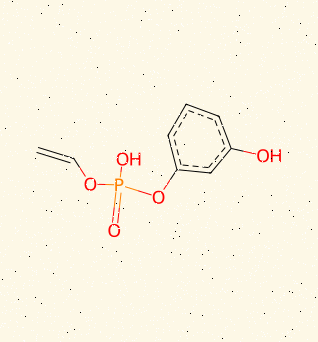 C=COP(=O)(O)Oc1cccc(O)c1